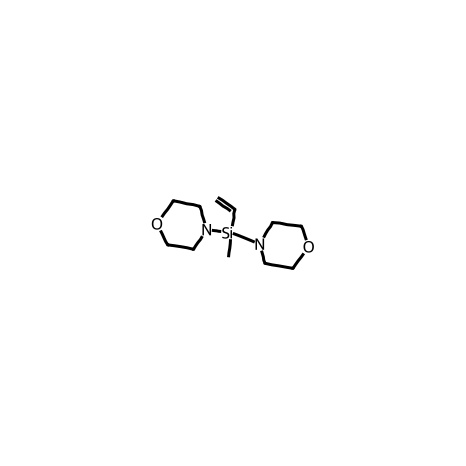 C=C[Si](C)(N1CCOCC1)N1CCOCC1